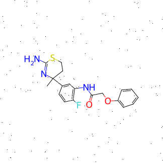 CC1(c2ccc(F)c(NC(=O)COc3ccccc3)c2)CCSC(N)=N1